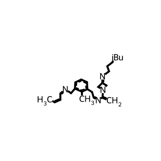 C=C(/N=C\Cc1cccc(C/N=C\C=C/C)c1C)N1CC(=NCCCC(C)CC)C1